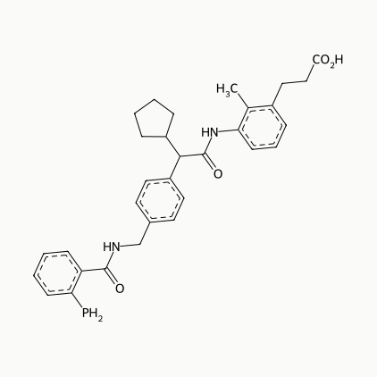 Cc1c(CCC(=O)O)cccc1NC(=O)C(c1ccc(CNC(=O)c2ccccc2P)cc1)C1CCCC1